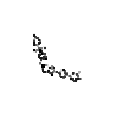 Cc1ccc(S(=O)(=O)n2cnc(Cn3ccc4nc(-c5ccc(-c6ccc(C)c(C)c6)cc5)nc-4c3)c2)cc1